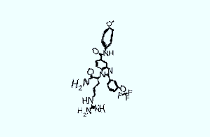 COc1ccc(NC(=O)c2ccc3c(c2)nc(-c2cccc(OC(F)(F)F)c2)n3[C@@H](CCCNC(=N)N)C(N)=O)cc1